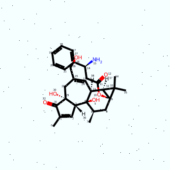 CC1=C[C@H]2[C@@]3(O)[C@H](C)C[C@]4(OC(=O)C[C@H](N)c5ccccc5)[C@@H]([C@@H]3C=C(CO)C[C@]2(O)C1=O)C4(C)C